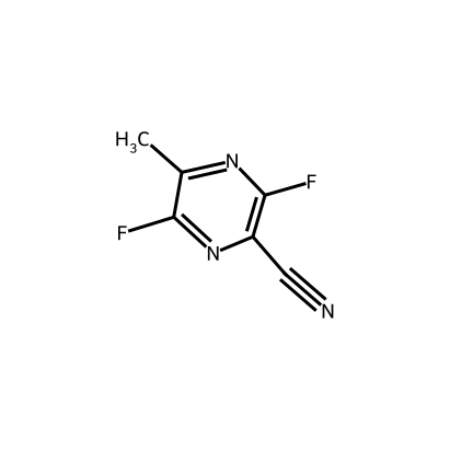 Cc1nc(F)c(C#N)nc1F